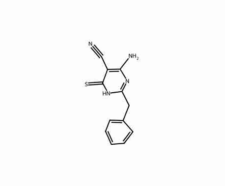 N#Cc1c(N)nc(Cc2ccccc2)[nH]c1=S